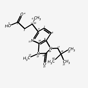 C[C@@H](CC(=O)O)c1ccc2c(n1)n(C)c(=O)n2CC(C)(C)C